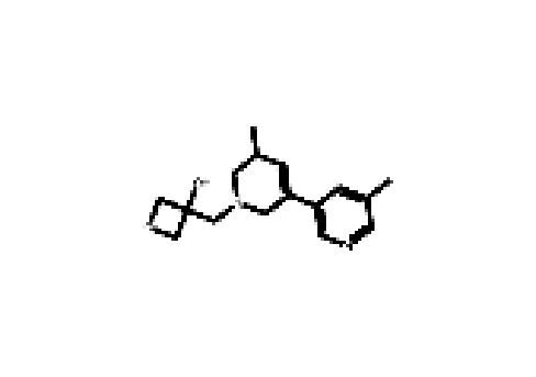 Cc1cncc(C2=CC(C)CN(CC3(O)COC3)C2)c1